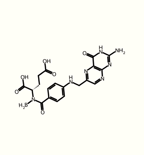 BN(C(=O)c1ccc(NCc2cnc3nc(N)[nH]c(=O)c3n2)cc1)[C@@H](CCC(=O)O)C(=O)O